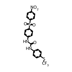 O=C(Nc1ccc(SC(F)(F)F)cc1)Nc1ccc(S(=O)(=O)c2ccc([N+](=O)[O-])cc2)cc1